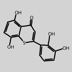 O=c1cc(-c2cccc(O)c2O)sc2c(O)ccc(O)c12